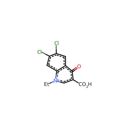 CCn1cc(C(=O)O)c(=O)c2cc(Cl)c(Cl)cc21